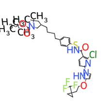 CC(C)(C)OC(=O)N1CC(CCCCc2ccc(SNC(=O)c3ccc(N4C=CC(OCCC5(C(F)(F)F)CC5)N4)nc3Cl)cc2)CC1(C)C